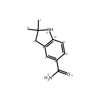 CC1(C)Cc2cc(C(N)=O)ccc2N1